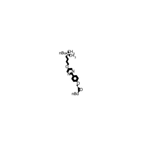 CCCC[C@@H]1O[C@H]1COc1ccc(-c2ncc(OCCCC[Si](C)(C)CCCC)cn2)cc1